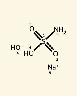 NS(=O)(=O)O.[Na+].[OH-]